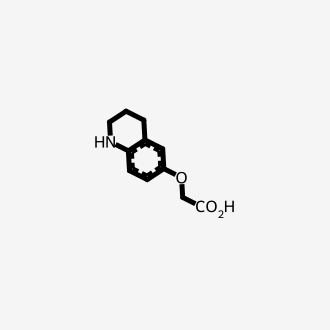 O=C(O)COc1ccc2c(c1)CCCN2